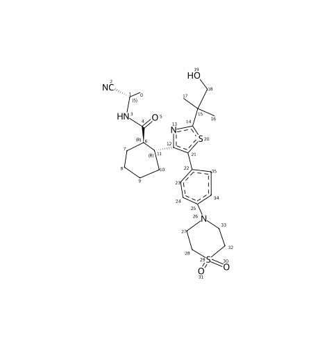 C[C@@H](C#N)NC(=O)[C@@H]1CCCC[C@H]1c1nc(C(C)(C)CO)sc1-c1ccc(N2CCS(=O)(=O)CC2)cc1